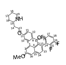 COc1ccc2c(C(=O)c3ccc(OCCC4CCCCN4)cc3)c(-c3c(F)ccc(F)c3F)ccc2c1